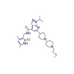 CSCCN1CCC(N2CCC(c3cc(C(=O)NCc4c(C)cc(C)[nH]c4=O)c4cnn(C(C)C)c4n3)CC2)CC1